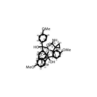 COc1ccc(C(O)(c2ccc(OC)cc2)[C@@H](C)N(C(=O)C2(C(N)=O)CC2)[C@H](C)C(O)(c2ccc(OC)cc2)c2ccc(OC)cc2)cc1